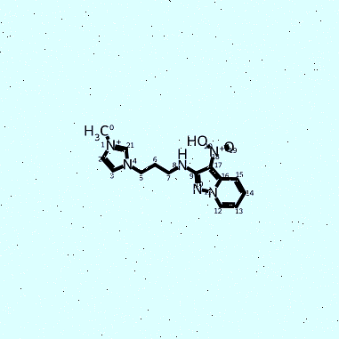 C[n+]1ccn(CCCNc2nn3ccccc3c2[N+](=O)O)c1